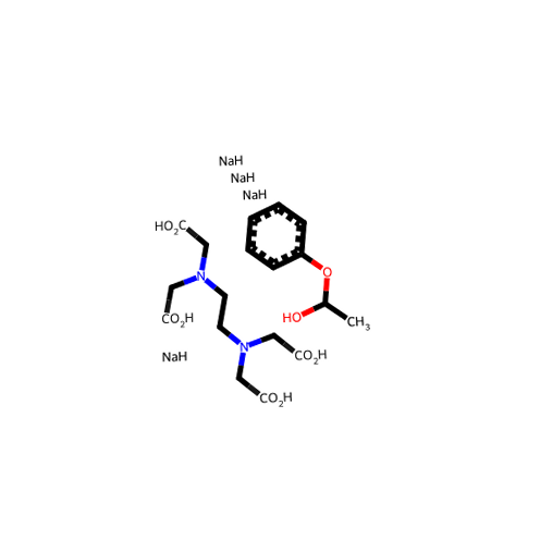 CC(O)Oc1ccccc1.O=C(O)CN(CCN(CC(=O)O)CC(=O)O)CC(=O)O.[NaH].[NaH].[NaH].[NaH]